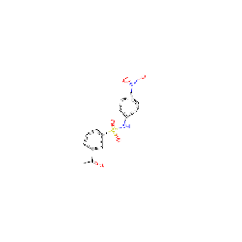 CC(=O)c1cccc(S(=O)(=O)Nc2ccc([N+](=O)[O-])cc2)c1